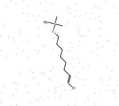 CC/C=C/CCCCCCO[Si](C)(C)C(C)(C)C